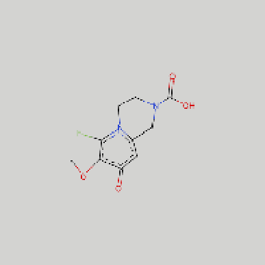 COc1c(F)n2c(cc1=O)CN(C(=O)O)CC2